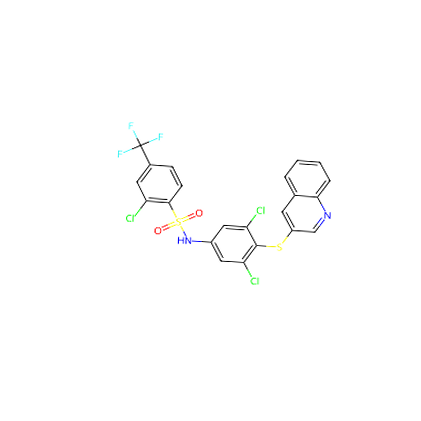 O=S(=O)(Nc1cc(Cl)c(Sc2cnc3ccccc3c2)c(Cl)c1)c1ccc(C(F)(F)F)cc1Cl